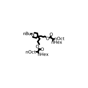 CCCCCCCCC(CCCCCC)C(=O)OCCCC1(CCCOC(=O)C(CCCCCC)CCCCCCCC)CCN(CCCC)CC1